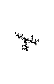 CC(S)CC(=O)OCC(COC(=O)CC(C)S)COC(O)CC(C)S